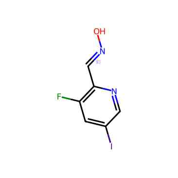 O/N=C/c1ncc(I)cc1F